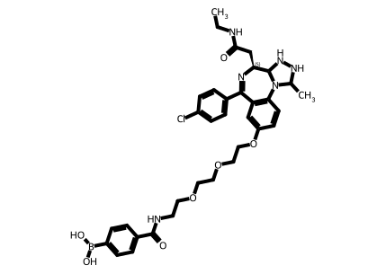 CCNC(=O)C[C@@H]1N=C(c2ccc(Cl)cc2)c2cc(OCCOCCOCCNC(=O)c3ccc(B(O)O)cc3)ccc2N2C(C)NNC12